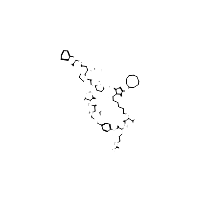 CC[C@H](C)[C@@H]([C@@H](CC(=O)N1CCC[C@H]1[C@H](OC)[C@@H](C)C(=O)N[C@@H](Cc1ccccc1)C(=O)O)OC)N(C)C(=O)[C@@H](NC(=O)[C@H](C(C)C)N(C)C(=O)OCc1ccc(NC(=O)[C@H](CCCNC(N)=O)NC(=O)[C@@H](NC(=O)CCCCCC2C(=O)C=C(SC3CCCCCCCC3)C2=O)C(C)C)cc1)C(C)C